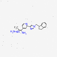 NN/C(=C(\N)c1ccnc(-c2cn(CC3CCc4ccccc43)cn2)c1)C(F)(F)F